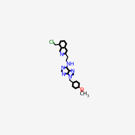 COc1ccc(Cn2cnc3c(NCCc4cc5cccc(CCl)c5cn4)ncnc32)cc1